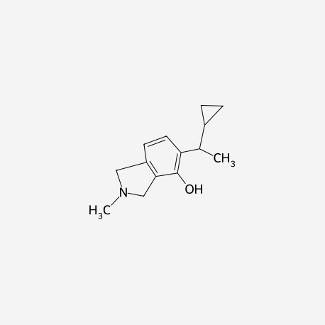 CC(c1ccc2c(c1O)CN(C)C2)C1CC1